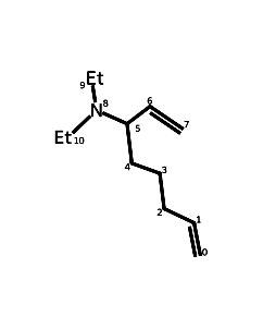 C=CCCCC(C=C)N(CC)CC